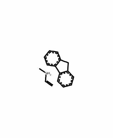 C=C[SiH2]C.c1ccc2c(c1)Cc1ccccc1-2